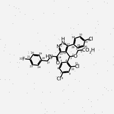 O=C(O)COC(c1ccc(Cl)cc1Cl)c1c(C(=O)NCc2ccc(F)cc2)n[nH]c1-c1ccc(Cl)cc1